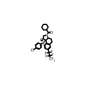 O=C(C1CCCCC1)N1CCC2(S(=O)(=O)c3ccc(Cl)cc3)c3ccc(C(F)(F)C(F)(F)C(F)(F)F)cc3CCC12